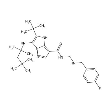 CC(C)(C)CC(C)(C)Nc1c(C(C)(C)C)[nH]c2c(C(=O)NCNCc3ccc(F)cc3)cnn12